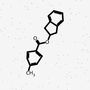 Cc1ccc(C(=O)OC2Cc3ccccc3C2)cc1